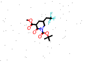 COC(=O)C1CC(CC(F)(F)F)CN(C(=O)OC(C)(C)C)C1=O